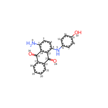 Nc1ccc(Nc2ccc(O)cc2)c2c1C(=O)c1ccccc1C2=O